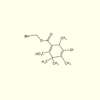 CCC1=C(C)C(C)(C)C(C(=O)O)=C(C(=O)OCC(C)CC)C1C